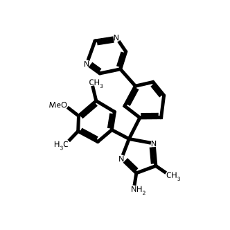 COc1c(C)cc(C2(c3cccc(-c4cncnc4)c3)N=C(C)C(N)=N2)cc1C